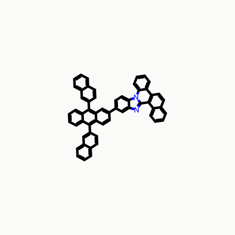 c1ccc2cc(-c3c4ccccc4c(-c4ccc5ccccc5c4)c4cc(-c5ccc6c(c5)nc5c7c8ccccc8ccc7c7ccccc7n65)ccc34)ccc2c1